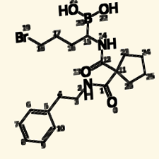 O=C(NCCc1ccccc1)C1(C(=O)NC(CCCBr)B(O)O)CCCC1